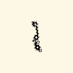 CN1CCN(CCCCCC2CCC(N(C)C(=O)Oc3ccc(Cl)cc3)CC2)CC1